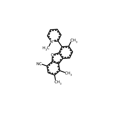 Cc1ccc2c(oc3c(C#N)cc(C)c(C)c32)c1-c1cccc[n+]1C